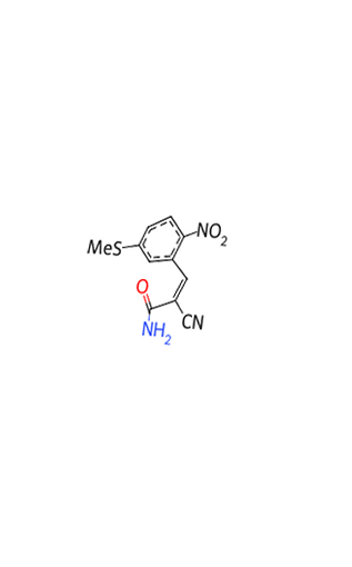 CSc1ccc([N+](=O)[O-])c(C=C(C#N)C(N)=O)c1